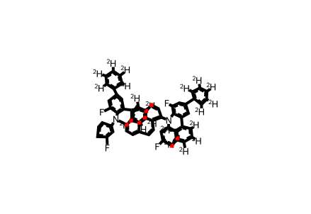 [2H]c1c([2H])c([2H])c(-c2cc(F)c(N(C3=CC=C4C=CC5=C(N(c6cccc(F)c6)c6c(F)cc(-c7c([2H])c([2H])c([2H])c([2H])c7[2H])cc6-c6c([2H])c([2H])c([2H])c([2H])c6[2H])C=CC6=CC=C3C4C65)c3cccc(F)c3)c(-c3c([2H])c([2H])c([2H])c([2H])c3[2H])c2)c([2H])c1[2H]